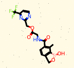 Cc1c(C(=O)NCC(=O)OCc2nccc(C(F)(F)F)n2)ccc2c1B(O)OC2